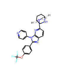 FC(F)(F)Oc1ccc(-c2nc3ccc(N4C[C@H]5CC[C@@H]4CN5)nc3n2-c2ccncc2)cc1